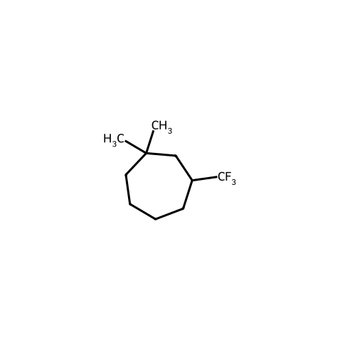 CC1(C)CCCCC(C(F)(F)F)C1